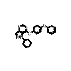 c1ccc(Oc2ccc(Oc3ncnc4cnn(C5CCCCC5)c34)cc2)cc1